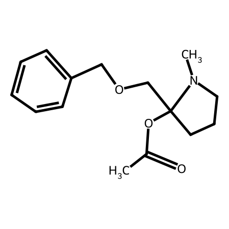 CC(=O)OC1(COCc2ccccc2)CCCN1C